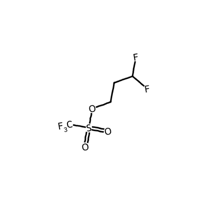 O=S(=O)(OCCC(F)F)C(F)(F)F